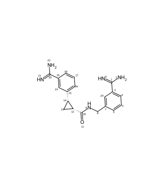 N=C(N)c1cccc(CNC(=O)[C@@H]2C[C@@H]2c2cccc(C(=N)N)c2)c1